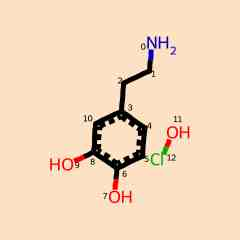 NCCc1ccc(O)c(O)c1.OCl